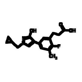 Cc1cc(-c2cn(CC3CC3)nc2O)cc(CCC(=O)O)c1F